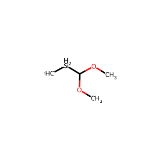 [CH][SiH2]C(OC)OC